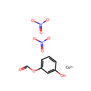 O=COc1cccc(O)c1.O=[N+]([O-])[O-].O=[N+]([O-])[O-].[Co+2]